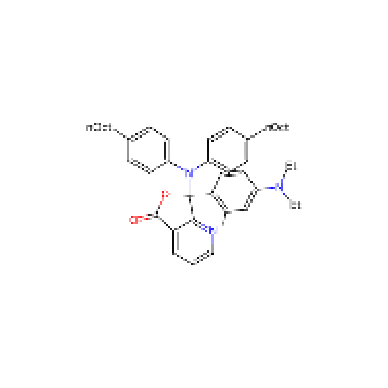 CCCCCCCCc1ccc(N(c2ccc(CCCCCCCC)cc2)C2(c3ccc(N(CC)CC)cc3C)OC(=O)c3cccnc32)cc1